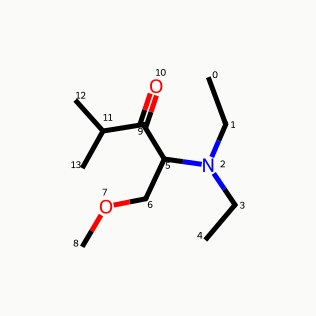 CCN(CC)C(COC)C(=O)C(C)C